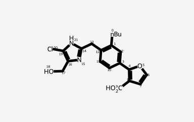 CCCCc1cc(-c2occc2C(=O)O)ccc1Cc1nc(CO)c(Cl)[nH]1